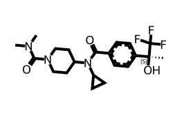 CN(C)C(=O)N1CCC(N(C(=O)c2ccc([C@](C)(O)C(F)(F)F)cc2)C2CC2)CC1